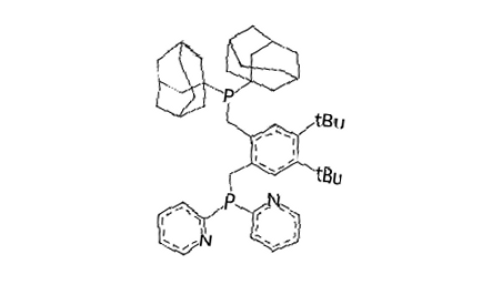 CC(C)(C)c1cc(CP(c2ccccn2)c2ccccn2)c(CP(C23CC4CC(CC(C4)C2)C3)C23CC4CC(CC(C4)C2)C3)cc1C(C)(C)C